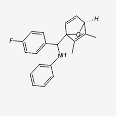 CC1=C(C)C2(C(Nc3ccccc3)c3ccc(F)cc3)C=C[C@@H]1O2